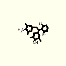 CCc1cccc(CC)c1C(Cc1cc(C)c(N)c(C)c1)C1C=C(C)C(=N)C(C)=C1